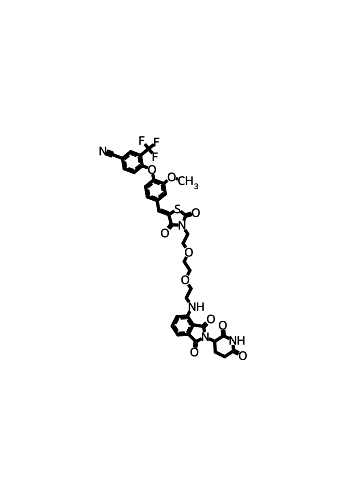 COc1cc(C=C2SC(=O)N(CCOCCOCCNc3cccc4c3C(=O)N(C3CCC(=O)NC3=O)C4=O)C2=O)ccc1Oc1ccc(C#N)cc1C(F)(F)F